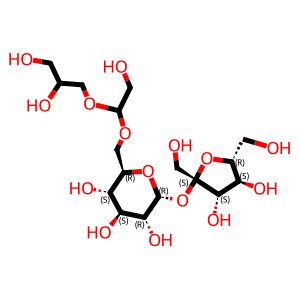 OCC(O)COC(CO)OC[C@H]1O[C@H](O[C@]2(CO)O[C@H](CO)[C@@H](O)[C@@H]2O)[C@H](O)[C@@H](O)[C@@H]1O